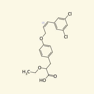 CCOC(Cc1ccc(OC/C=C\c2cc(Cl)cc(Cl)c2)cc1)C(=O)O